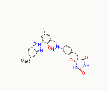 CCN(Cc1cc(C)cc(-n2nc3ccc(OC)cc3n2)c1O)c1ccc(C=C2C(=O)NC(=O)NC2=O)cc1